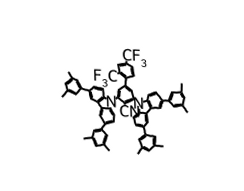 Cc1cc(C)cc(-c2ccc3c(c2)c2cc(-c4cc(C)cc(C)c4)ccc2n3-c2cc(-c3ccc(C(F)(F)F)cc3C(F)(F)F)cc(-n3c4ccc(-c5cc(C)cc(C)c5)cc4c4cc(-c5cc(C)cc(C)c5)ccc43)c2C#N)c1